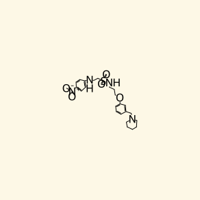 O=[N+]([O-])c1ccc(NCCS(=O)(=O)NCCCOc2cccc(CN3CCCCC3)c2)cc1